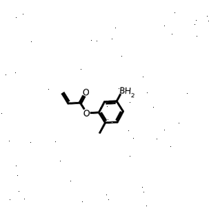 Bc1ccc(C)c(OC(=O)C=C)c1